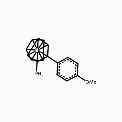 COc1ccc([C]23[CH]4[CH]5[CH]6[C]2(P)[Fe]56432789[CH]3[CH]2[CH]7[CH]8[CH]39)cc1